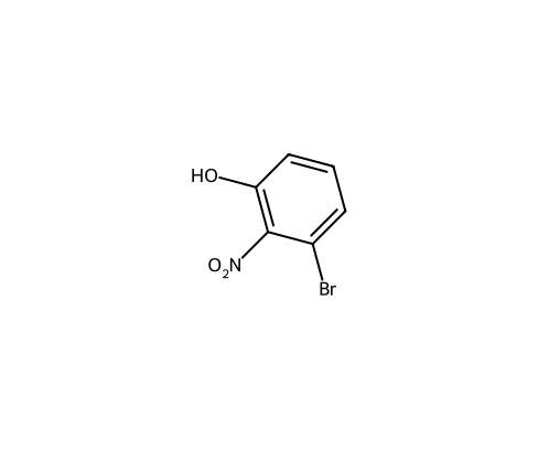 O=[N+]([O-])c1c(O)cccc1Br